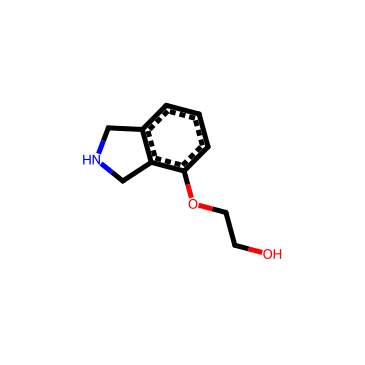 OCCOc1cccc2c1CNC2